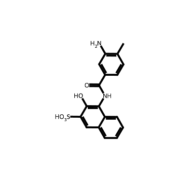 Cc1ccc(C(=O)Nc2c(O)c(S(=O)(=O)O)cc3ccccc23)cc1N